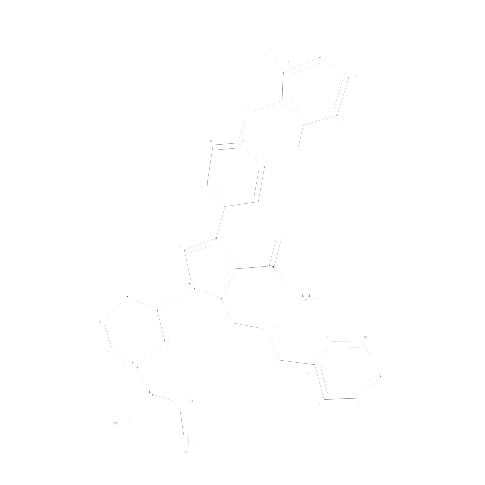 COC(=O)c1c(-c2ccc(Oc3c(F)cccc3F)cc2)cn(C2CCCN(C(=O)OC(C)(C)C)C2)c1COCc1ccccc1